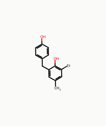 CCc1cc(C)cc(Cc2ccc(O)cc2)c1O